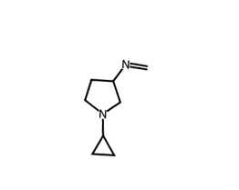 C=NC1CCN(C2CC2)C1